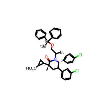 CCC(CO[Si](c1ccccc1)(c1ccccc1)C(C)(C)C)N1C(=O)[C@@](C)(C2CC2C(=O)O)CC(c2cccc(Cl)c2)[C@H]1c1ccc(Cl)cc1